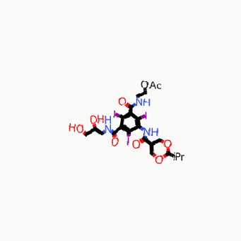 CC(=O)OCCNC(=O)c1c(I)c(NC(=O)C2COC(C(C)C)OC2)c(I)c(C(=O)NCC(O)CO)c1I